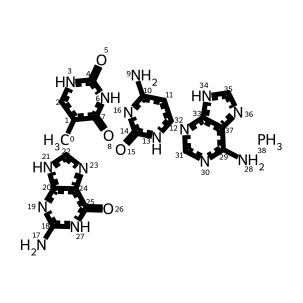 Cc1c[nH]c(=O)[nH]c1=O.Nc1cc[nH]c(=O)n1.Nc1nc2[nH]cnc2c(=O)[nH]1.Nc1ncnc2[nH]cnc12.P